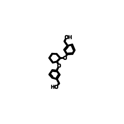 OCc1cccc(OC2CCCCC2Oc2cccc(CO)c2)c1